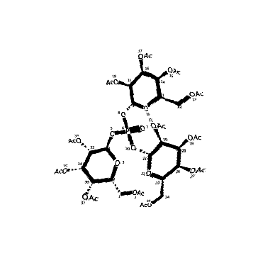 CC(=O)OC[C@H]1O[C@H](OP(=O)(O[C@H]2O[C@H](COC(C)=O)[C@H](OC(C)=O)[C@H](OC(C)=O)[C@@H]2OC(C)=O)O[C@H]2O[C@H](COC(C)=O)[C@H](OC(C)=O)[C@H](OC(C)=O)[C@@H]2OC(C)=O)[C@@H](OC(C)=O)[C@@H](OC(C)=O)[C@H]1OC(C)=O